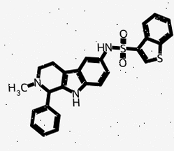 CN1CCc2c([nH]c3ccc(NS(=O)(=O)c4csc5ccccc45)cc23)C1c1ccccc1